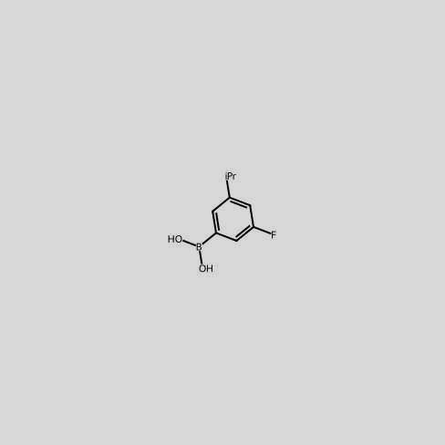 CC(C)c1cc(F)cc(B(O)O)c1